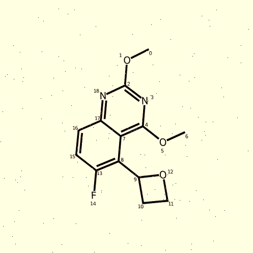 COc1nc(OC)c2c(C3CCO3)c(F)ccc2n1